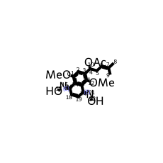 COc1cc(C(CC=C(C)C)OC(C)=O)c(OC)c2c1/C(=N/O)C=C/C2=N\O